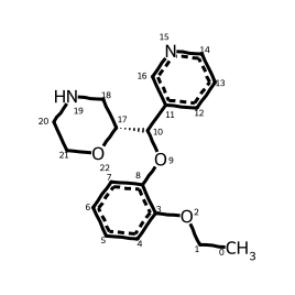 CCOc1ccccc1OC(c1cccnc1)[C@H]1CNCCO1